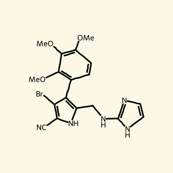 COc1ccc(-c2c(CNc3ncc[nH]3)[nH]c(C#N)c2Br)c(OC)c1OC